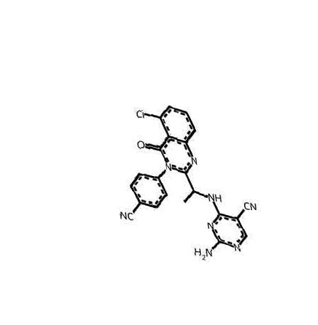 CC(Nc1nc(N)ncc1C#N)c1nc2cccc(Cl)c2c(=O)n1-c1ccc(C#N)cc1